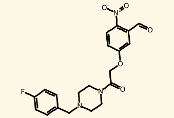 O=Cc1cc(OCC(=O)N2CCN(Cc3ccc(F)cc3)CC2)ccc1[N+](=O)[O-]